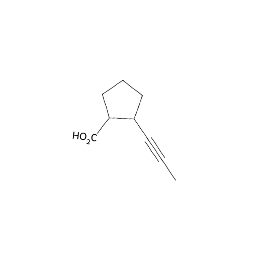 CC#CC1CCCC1C(=O)O